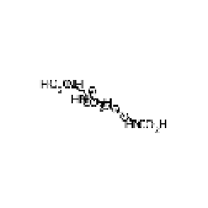 O=C(O)NCCCCC(NC(=O)O)C(=O)NCCCOCCOCCOCCCNC(=O)O